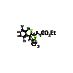 C=C(/C=C(\C(F)=C(/F)CCC(=O)OCC)c1c(C)ccc(C)c1C)C(F)(F)F